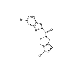 O=C(c1cc2ncc(Br)cn2n1)N1CCn2c(Cl)ccc2C1